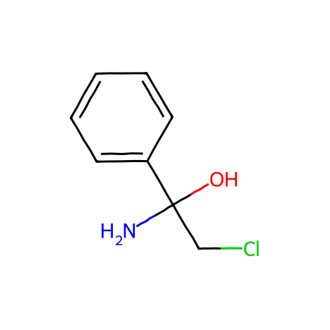 NC(O)(CCl)c1ccccc1